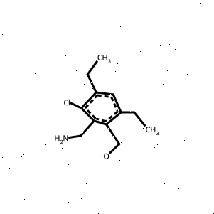 CCc1cc(CC)c(C[O])c(CN)c1Cl